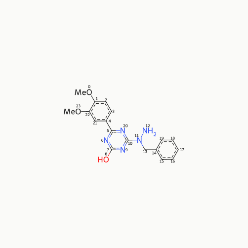 COc1ccc(-c2nc(O)nc(N(N)Cc3ccccc3)n2)cc1OC